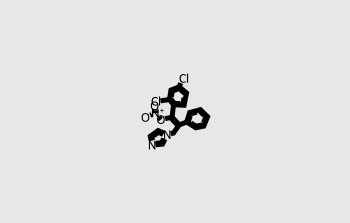 O=[N+]([O-])OC(=C(Cn1ccnc1)c1ccccc1)c1ccc(Cl)cc1Cl